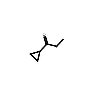 C[CH]C(=O)C1CC1